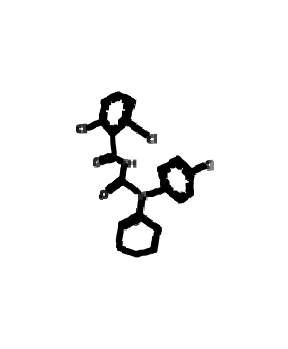 O=C(NC(=O)N(C1=CCCCC1)c1ccc(Cl)cc1)c1c(Cl)cccc1Cl